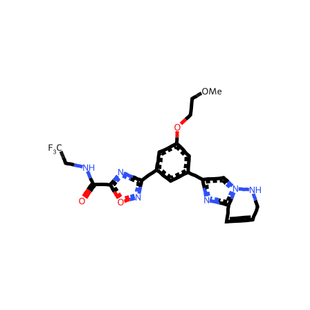 COCCOc1cc(-c2cn3c(n2)C=CCN3)cc(-c2noc(C(=O)NCC(F)(F)F)n2)c1